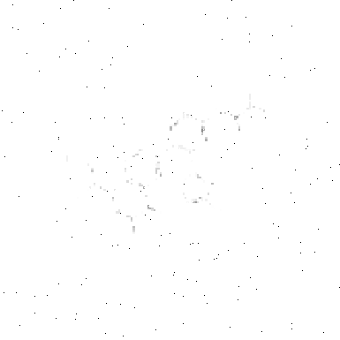 CCNC(=O)Nc1cc(-c2nc(C(F)(F)F)cs2)c(-c2ccc3c(c2)c(=O)c(C(=O)OCC)cn3C(CC)CO)cn1